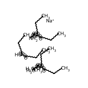 CCCCCCCC/C=C\CCCCCCCC(=O)OC[C@H](CO)OC(=O)CCCCCCC/C=C\CCCCCCCC.CCCCCCCC/C=C\CCCCCCCC(=O)OC[C@H](COP(=O)(O)OCCN)OC(=O)CCCCCCC/C=C\CCCCCCCC.CCCCCCCC/C=C\CCCCCCCC(=O)OC[C@H](COP(=O)(O)OCC[N+](C)(C)C)OC(=O)CCCCCCC/C=C\CCCCCCCC.[Na+]